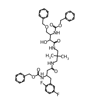 CC(C)(CNC(=O)CC(Cc1cc(F)ccc1F)NC(=O)OCc1ccccc1)CNC(=O)C(O)C(COCc1ccccc1)NC(=O)OCc1ccccc1